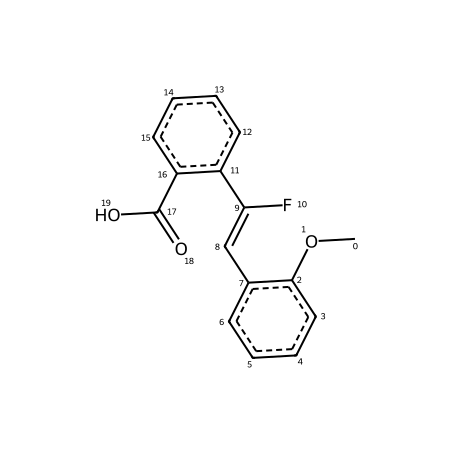 COc1ccccc1C=C(F)c1ccccc1C(=O)O